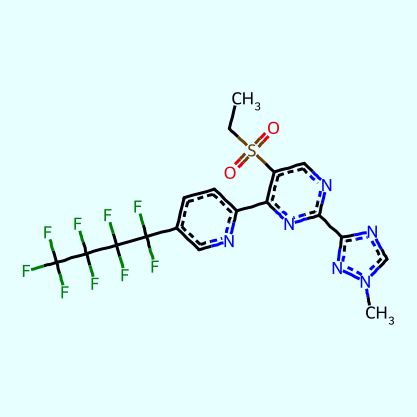 CCS(=O)(=O)c1cnc(-c2ncn(C)n2)nc1-c1ccc(C(F)(F)C(F)(F)C(F)(F)C(F)(F)F)cn1